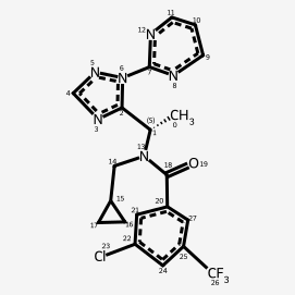 C[C@@H](c1ncnn1-c1ncccn1)N(CC1CC1)C(=O)c1cc(Cl)cc(C(F)(F)F)c1